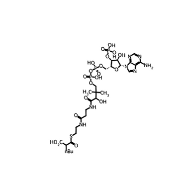 CCCCC(C(=O)O)C(=O)SCCNC(=O)CCNC(=O)C(O)C(C)(C)COP(=O)(O)OP(=O)(O)OC[C@H]1O[C@@H](n2cnc3c(N)ncnc32)[C@H](O)[C@@H]1OP(=O)(O)O